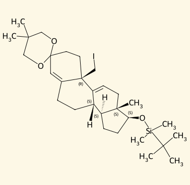 CC1(C)COC2(C=C3CC[C@@H]4C(=CC[C@]5(C)[C@@H](O[Si](C)(C)C(C)(C)C)CC[C@@H]45)[C@@]3(CI)CC2)OC1